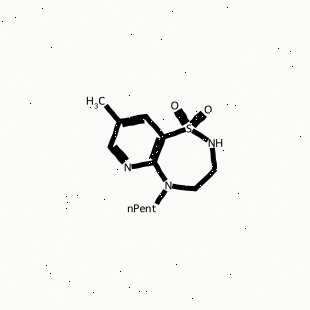 CCCCCN1CCNS(=O)(=O)c2cc(C)cnc21